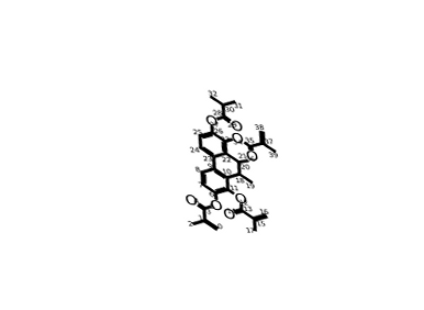 C=C(C)C(=O)Oc1ccc2c(c1OC(=O)C(=C)C)C(C)C(C)c1c-2ccc(OC(=O)C(C)C)c1OC(=O)C(=C)C